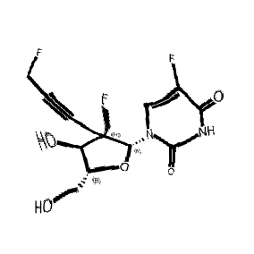 O=c1[nH]c(=O)n([C@@H]2O[C@H](CO)C(O)[C@]2(F)C#CCF)cc1F